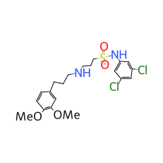 COc1ccc(CCCNCCCS(=O)(=O)Nc2cc(Cl)cc(Cl)c2)cc1OC